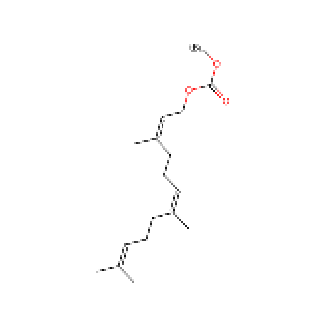 CC(C)=CCCC(C)=CCCC(C)=CCOC(=O)OC(C)(C)C